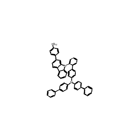 CC(C)(C)c1ccc(-c2ccc3c4ccccc4n(-c4ccccc4-c4ccc(N(c5ccc(-c6ccccc6)cc5)c5ccc(-c6ccccc6)cc5)cc4)c3c2)cc1